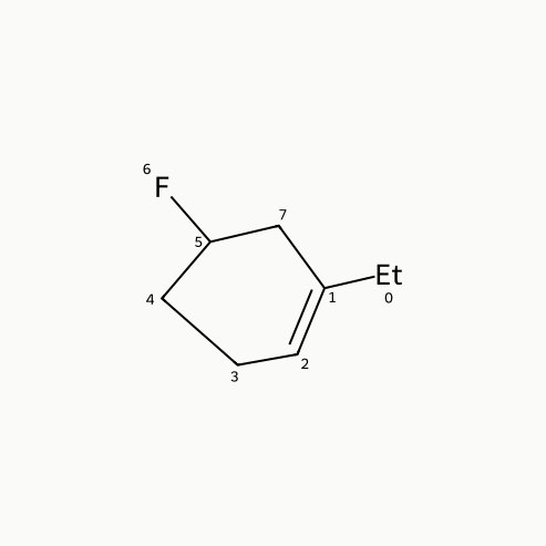 CCC1=CCCC(F)C1